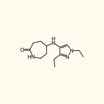 CCc1nn(CC)cc1NC1CCNC(=O)CC1